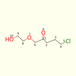 O=C(CCCCl)COCCO